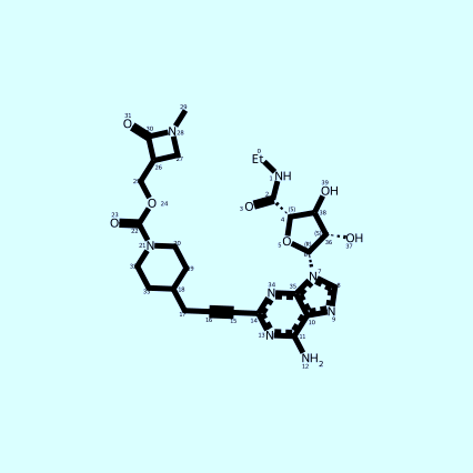 CCNC(=O)[C@H]1O[C@@H](n2cnc3c(N)nc(C#CCC4CCN(C(=O)OCC5CN(C)C5=O)CC4)nc32)[C@@H](O)C1O